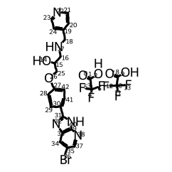 O=C(O)C(F)(F)F.O=C(O)C(F)(F)F.OC(CNCc1ccncc1)COc1ccc(-c2nc3cc(Br)cnc3[nH]2)cc1